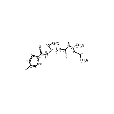 O=CO[C@H](CNC(=O)N[C@@H](CCC(=O)O)C(=O)O)NC(=O)c1ccc(I)cc1